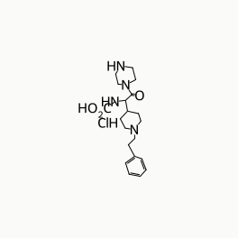 Cl.O=C(O)NC(C(=O)N1CCNCC1)C1CCN(CCc2ccccc2)CC1